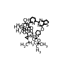 C=C[C@@H]1C[C@]1(NC(=O)[C@@H]1C[C@@H](Oc2nc(-c3cccc(N(C(=O)OC(C)(C)C)C(C)C)n3)nc3ccsc23)CN1C(=O)OC(C)(C)C)C(=O)OC